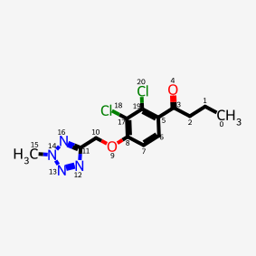 CCCC(=O)c1ccc(OCc2nnn(C)n2)c(Cl)c1Cl